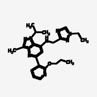 CCCOc1ncccc1-c1cc(NCc2ncn(CC)n2)c2c(n1)c(C)nn2C(C)C